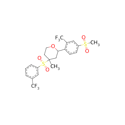 CC1(S(=O)(=O)c2cccc(C(F)(F)F)c2)CCOC(c2ccc(S(C)(=O)=O)cc2C(F)(F)F)C1